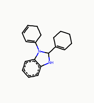 C1=CCCC(N2c3ccccc3NC2C2=CCCCC2)=C1